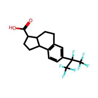 O=C(O)C1CCC2c3ccc(C(F)(C(F)(F)F)C(F)(F)F)cc3CCC12